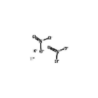 O=[N+]([O-])[O-].O=[N+]([O-])[O-].[K+].[Tl+]